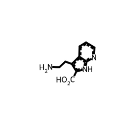 NCCc1c(C(=O)O)[nH]c2ncccc12